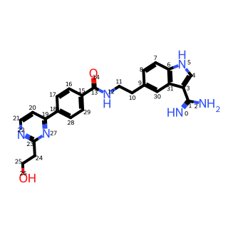 N=C(N)c1c[nH]c2ccc(CCNC(=O)c3ccc(-c4ccnc(CCO)n4)cc3)cc12